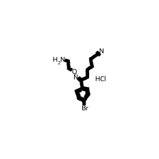 Cl.N#CCCCCC(=NOCCN)c1ccc(Br)cc1